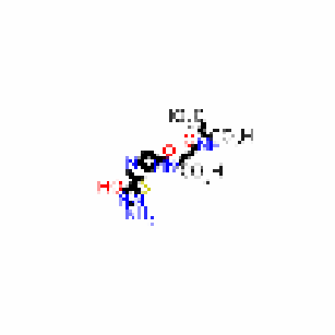 CN(Cc1csc2nc(N)nc(O)c12)c1ccc(C(=O)N[C@@H](CCC(=O)N[C@@H](CCC(=O)O)C(=O)O)C(=O)O)cc1